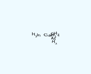 [AsH3].[GaH3].[InH3].[SiH4]